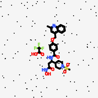 Cc1cc(COc2ccc(C(=O)NC(CC(=O)NO)C3CCN(S(C)(=O)=O)CC3)cc2)c2ccccc2n1.O=C(O)C(F)(F)F